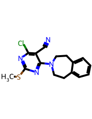 CSc1nc(Cl)c(C#N)c(N2CCc3ccccc3CC2)n1